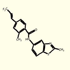 Cc1nc2cc(NC(=O)c3ccc(C=CC(F)(F)F)cc3C)ccc2s1